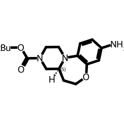 CC(C)(C)OC(=O)N1CCN2c3ccc(N)cc3OCC[C@H]2C1